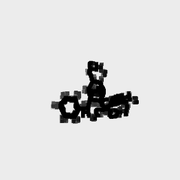 CCC1CC2C(C(C)(C)O)CC1C(Cc1ccccc1)N2C